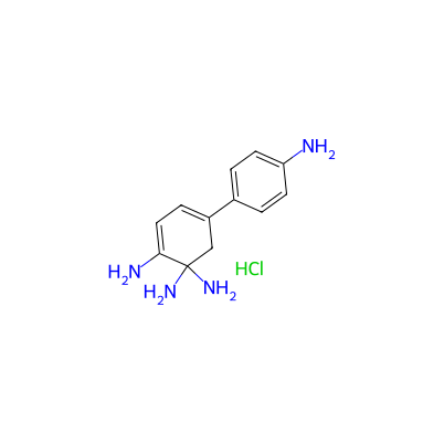 Cl.NC1=CC=C(c2ccc(N)cc2)CC1(N)N